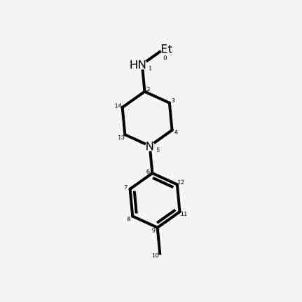 CCNC1CCN(c2ccc(C)cc2)CC1